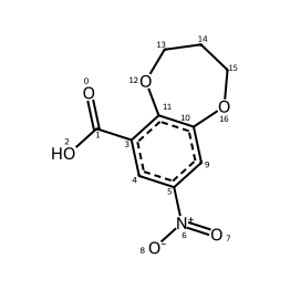 O=C(O)c1cc([N+](=O)[O-])cc2c1OCCCO2